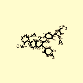 COc1ncnc(C2CC2)c1-c1ncc2cc(C3=CCN(C)CC3)c(=O)n(Cc3ccc(-c4nc(C(F)(F)F)cn4C4CC4)cc3)c2n1